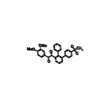 COc1ccc(C(=O)C(=O)c2cccc(-c3ccc(S(C)(=O)=O)cc3)c2-c2ccccc2)cc1OC